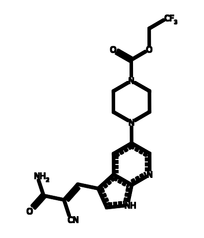 N#C/C(=C\c1c[nH]c2ncc(N3CCN(C(=O)OCC(F)(F)F)CC3)cc12)C(N)=O